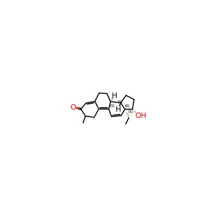 CC[C@]12C=CC3=C4CC(C)C(=O)C=C4CC[C@H]3[C@@H]1CC[C@@H]2O